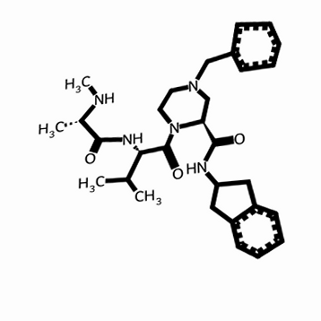 CN[C@@H](C)C(=O)N[C@H](C(=O)N1CCN(Cc2ccccc2)C[C@H]1C(=O)NC1Cc2ccccc2C1)C(C)C